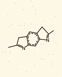 CC1=Nc2cc3c(cc2C1)CC(C)=N3